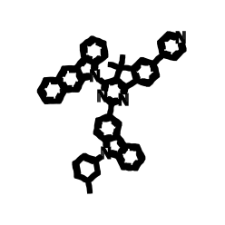 CC1C=CC=C(n2c3ccccc3c3cc(-c4nc5c(c(-n6c7ccccc7c7cc8ccccc8cc76)n4)C(C)(C)c4cc(-c6ccncc6)ccc4-5)ccc32)C1